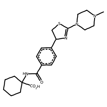 CN1CCN(C2=NC(c3ccc(C(=O)NC4(C(=O)O)CCCCC4)cc3)CS2)CC1